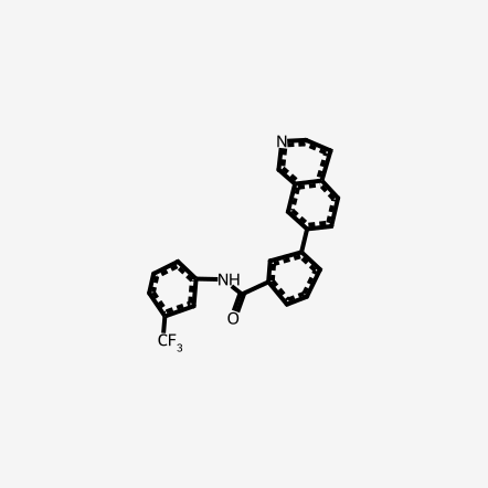 O=C(Nc1cccc(C(F)(F)F)c1)c1cccc(-c2ccc3ccncc3c2)c1